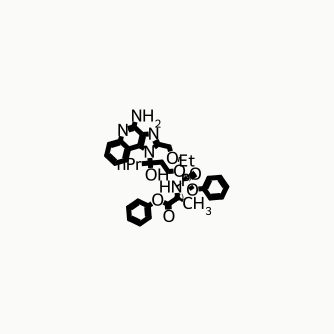 CCCC(O)(CCO[P@](=O)(N[C@@H](C)C(=O)Oc1ccccc1)Oc1ccccc1)n1c(COCC)nc2c(N)nc3ccccc3c21